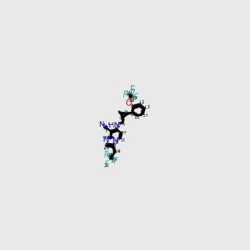 N#Cc1c(NCC2CC2c2ccccc2OC(F)(F)F)ccn2c(CC(F)(F)F)cnc12